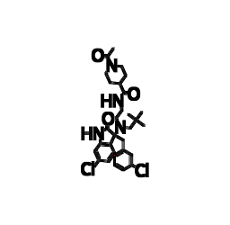 CC(=O)N1CCC(C(=O)NCCN(CC(C)(C)C)C2(Cc3cccc(Cl)c3)C(=O)Nc3cc(Cl)ccc32)CC1